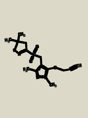 C#CCOc1c(CS(=O)(=O)C2=NOC(C)(C)C2)c(C(F)(F)F)nn1C